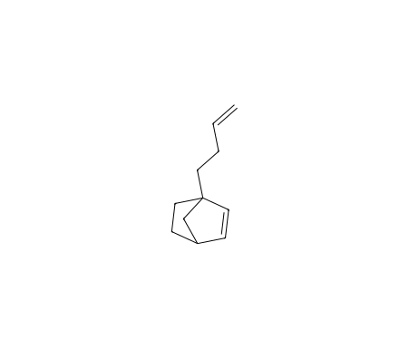 C=CCCC12C=CC(CC1)C2